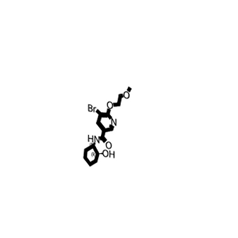 COCCOc1ncc(C(=O)N[C@@H]2CCCC[C@H]2O)cc1Br